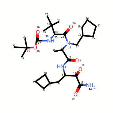 CC(C(=O)NC(CC1CCC1)C(=O)C(N)=O)N(CC1CCCC1)C(=O)[C@@H](NC(=O)OC(C)(C)C)C(C)(C)C